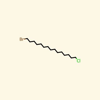 ClCCCCCCCCCCCCCCCBr